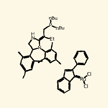 CCCCP(CCCC)CC(CC)=C1NCC(c2c(C)cc(C)cc2C)N1c1c(C)cc(C)cc1C.[Cl][Ru]([Cl])=[C]1C(c2ccccc2)=Cc2ccccc21